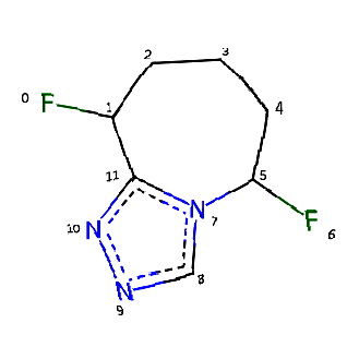 FC1CCCC(F)n2cnnc21